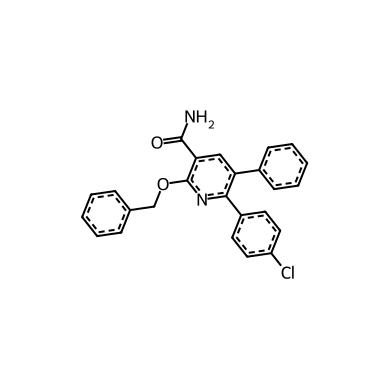 NC(=O)c1cc(-c2ccccc2)c(-c2ccc(Cl)cc2)nc1OCc1ccccc1